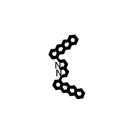 c1ccc2cc3cc4c(-c5ccc6ccc(-c7cccc8cc9cc%10ccccc%10cc9cc78)nc6n5)cccc4cc3cc2c1